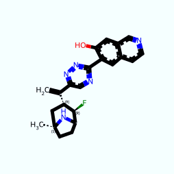 C=C(c1cnc(-c2cc3ccncc3cc2O)nn1)[C@H]1C[C@]2(C)CCC(N2)[C@@H]1F